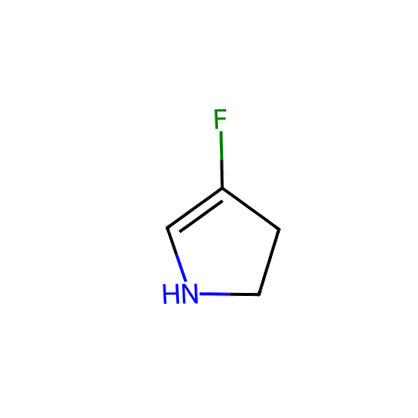 FC1=CNCC1